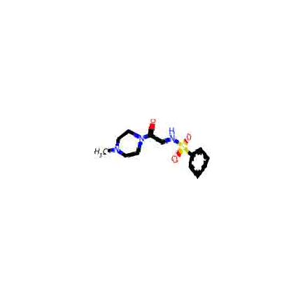 CN1CCN(C(=O)CNS(=O)(=O)c2ccccc2)CC1